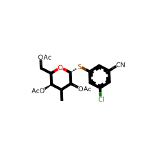 CC(=O)OCC1O[C@H](Sc2cc(Cl)cc(C#N)c2)C(OC(C)=O)C(C)[C@H]1OC(C)=O